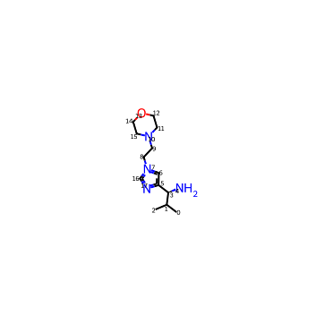 CC(C)[C@H](N)c1cn(CCN2CCOCC2)cn1